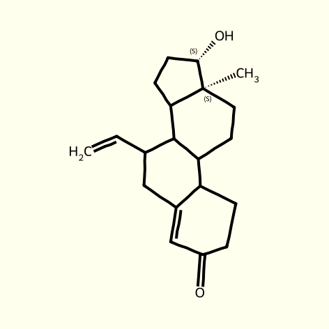 C=CC1CC2=CC(=O)CCC2C2CC[C@@]3(C)C(CC[C@@H]3O)C12